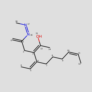 C=C(CC(/C(=C\C)CCC/C=C\C)=C(/C)O)/N=N\C